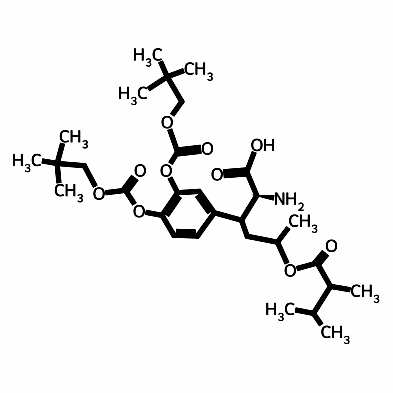 CC(CC(c1ccc(OC(=O)OCC(C)(C)C)c(OC(=O)OCC(C)(C)C)c1)[C@H](N)C(=O)O)OC(=O)C(C)C(C)C